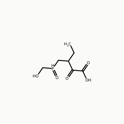 CCC(C[PH](=O)CO)C(=O)C(=O)O